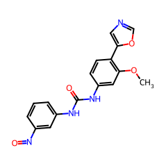 COc1cc(NC(=O)Nc2cccc(N=O)c2)ccc1-c1cnco1